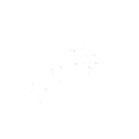 C[C@H](c1nc2c(cnn2C2CCCC2)c(=O)[nH]1)N1CCC(c2cccc(Br)n2)C1